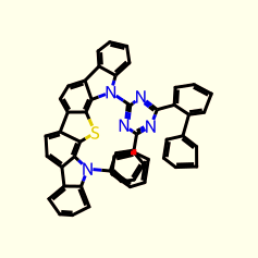 c1ccc(-c2nc(-c3ccccc3-c3ccccc3)nc(-n3c4ccccc4c4ccc5c6ccc7c8ccccc8n(-c8ccccc8)c7c6sc5c43)n2)cc1